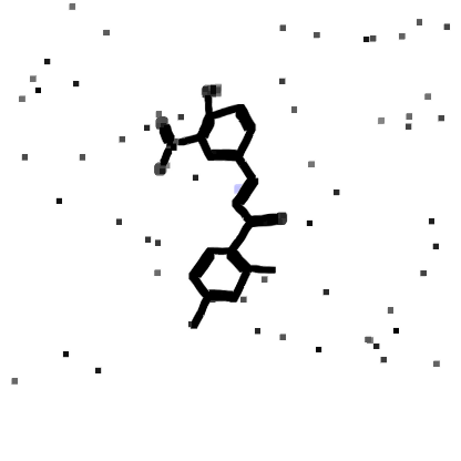 Cc1ccc(C(=O)/C=C/c2ccc(O)c([N+](=O)[O-])c2)c(C)c1